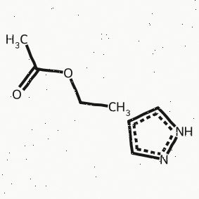 CCOC(C)=O.c1cn[nH]c1